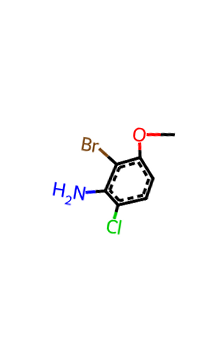 COc1ccc(Cl)c(N)c1Br